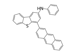 c1ccc(Nc2cc(-c3ccc4cc5ccccc5cc4c3)c3sc4ccccc4c3c2)cc1